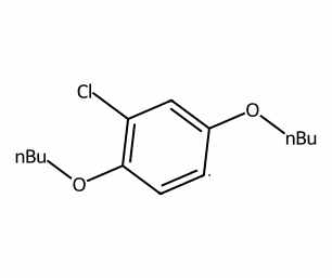 CCCCOc1[c]cc(OCCCC)c(Cl)c1